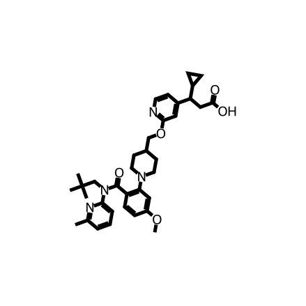 COc1ccc(C(=O)N(CC(C)(C)C)c2cccc(C)n2)c(N2CCC(COc3cc(C(CC(=O)O)C4CC4)ccn3)CC2)c1